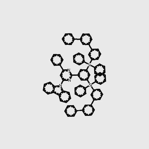 c1ccc(-c2cccc(-c3cccc([Si](c4ccccc4)(c4ccccc4)c4cc(-c5nc(-c6ccccc6)cc(-n6c7ccccc7c7ccccc76)n5)cc([Si](c5ccccc5)(c5ccccc5)c5cccc(-c6cccc(-c7ccccc7)c6)c5)c4)c3)c2)cc1